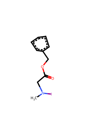 CN(I)CC(=O)OCc1ccccc1